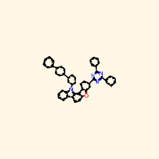 c1ccc(-c2ccc(-c3cccc(-n4c5ccccc5c5ccc6oc7cc(-c8nc(-c9ccccc9)nc(-c9ccccc9)n8)ccc7c6c54)c3)cc2)cc1